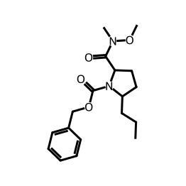 CCCC1CCC(C(=O)N(C)OC)N1C(=O)OCc1ccccc1